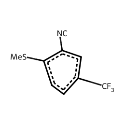 [C-]#[N+]c1cc(C(F)(F)F)ccc1SC